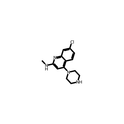 CNc1cc(N2CCNCC2)c2ccc(Cl)cc2n1